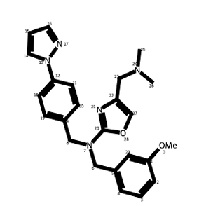 COc1cccc(CN(Cc2ccc(-n3cccn3)cc2)c2nc(CN(C)C)co2)c1